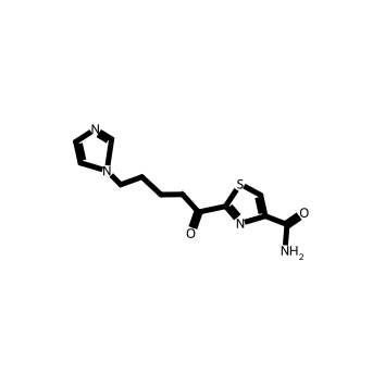 NC(=O)c1csc(C(=O)[CH]CCCn2ccnc2)n1